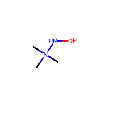 C[N+](C)(C)NO